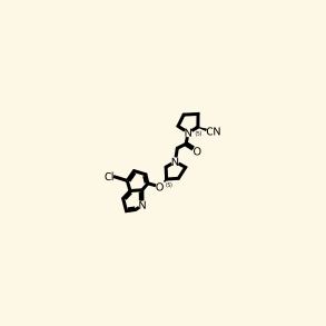 N#C[C@@H]1CCCN1C(=O)CN1CC[C@H](Oc2ccc(Cl)c3cccnc23)C1